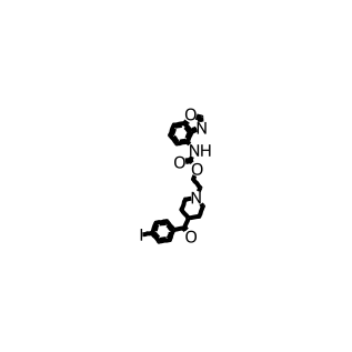 O=C(Nc1cccc2ocnc12)OCCN1CCC(C(=O)c2ccc(I)cc2)CC1